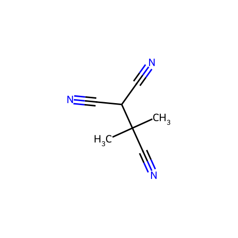 CC(C)(C#N)C(C#N)C#N